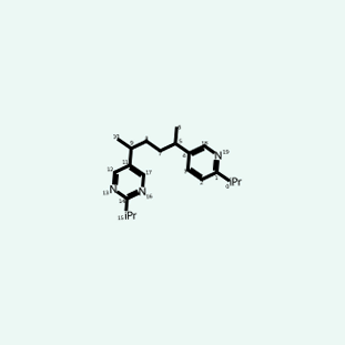 CC(C)c1ccc(C(C)CCC(C)c2cnc(C(C)C)nc2)cn1